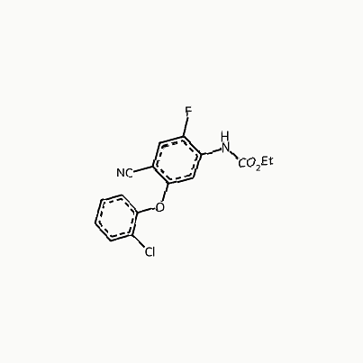 CCOC(=O)Nc1cc(Oc2ccccc2Cl)c(C#N)cc1F